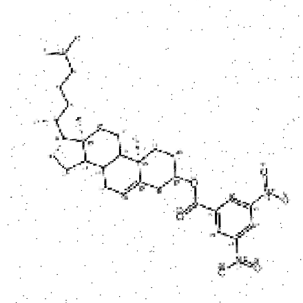 CC(C)CCC[C@@H](C)[C@H]1CCC2C3CC=C4CC(OC(=O)c5cc([N+](=O)[O-])cc([N+](=O)[O-])c5)CC[C@]4(C)C3CC[C@@]21C